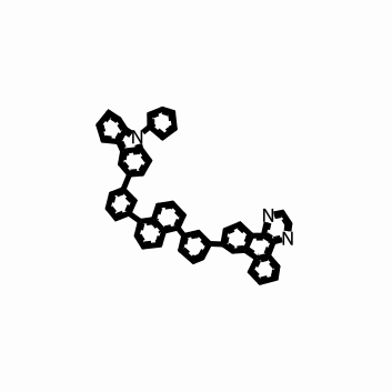 c1ccc(-n2c3ccccc3c3cc(-c4cccc(-c5cccc6c(-c7cccc(-c8ccc9c(c8)c8ccccc8c8nccnc98)c7)cccc56)c4)ccc32)cc1